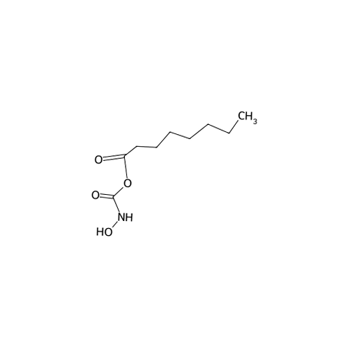 CCCCCCCC(=O)OC(=O)NO